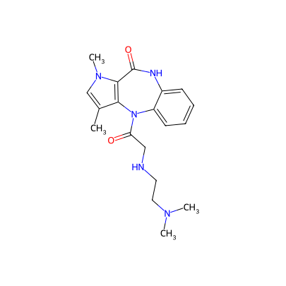 Cc1cn(C)c2c1N(C(=O)CNCCN(C)C)c1ccccc1NC2=O